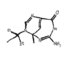 CCC(C)(CC)N1C=NC2=CC1(C)N=C(N)NC2=O